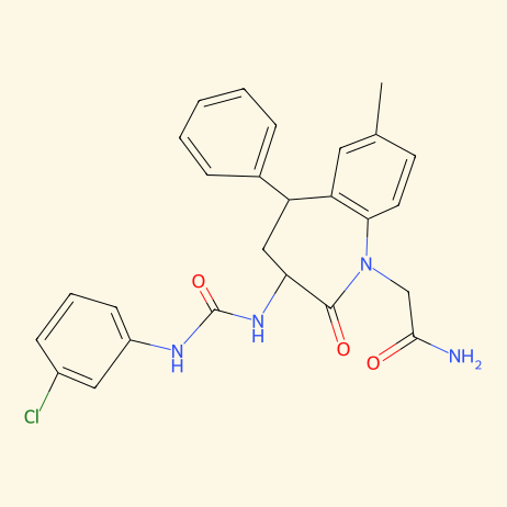 Cc1ccc2c(c1)C(c1ccccc1)CC(NC(=O)Nc1cccc(Cl)c1)C(=O)N2CC(N)=O